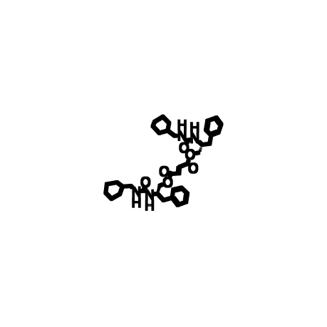 O=C(NCC1CCCCC1)N[C@@H](COC(=O)/C=C/C(=O)OC[C@@H](Cc1ccccc1)NC(=O)NCC1CCCCC1)Cc1ccccc1